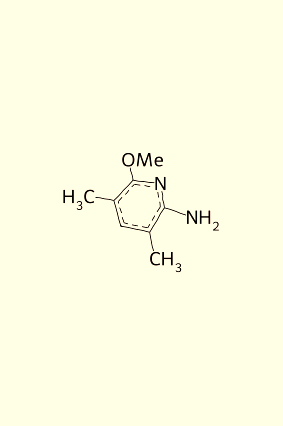 COc1nc(N)c(C)cc1C